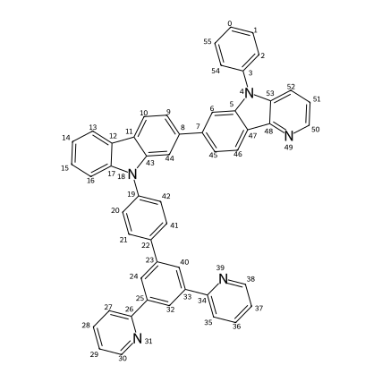 c1ccc(-n2c3cc(-c4ccc5c6ccccc6n(-c6ccc(-c7cc(-c8ccccn8)cc(-c8ccccn8)c7)cc6)c5c4)ccc3c3ncccc32)cc1